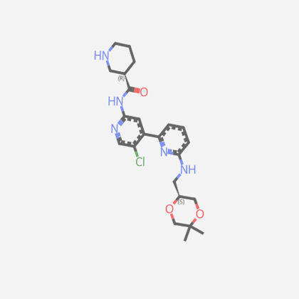 CC1(C)CO[C@@H](CNc2cccc(-c3cc(NC(=O)[C@@H]4CCCNC4)ncc3Cl)n2)CO1